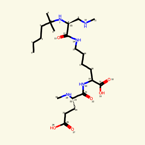 CCCCC(C)(C)N[C@@H](CNC)C(=O)NCCCCC(NC(=O)[C@H](CCC(=O)O)NC)C(=O)O